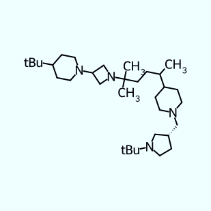 CC(CCC(C)(C)N1CC(N2CCC(C(C)(C)C)CC2)C1)C1CCN(C[C@@H]2CCN(C(C)(C)C)C2)CC1